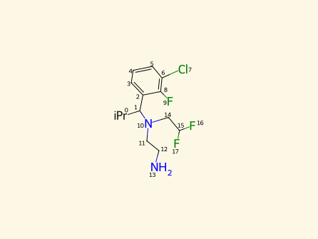 CC(C)C(c1cccc(Cl)c1F)N(CCN)CC(F)F